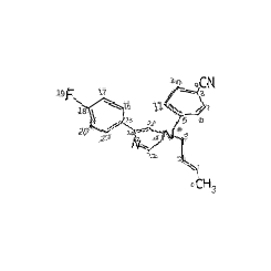 CC=CC[N+]1(c2ccc(C#N)cc2)C=NC(c2ccc(F)cc2)=C1